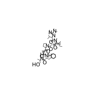 CC[C@H](C)[C@@H]([C@@H](CC(=O)N1CCCC1[C@H](OC)[C@@H](C)C(=O)NC(Cc1ccccc1)C(=O)NC(C)CO)OC)N(C)C(=O)C(N=C(N(C)C)N(C)C)C(C)C